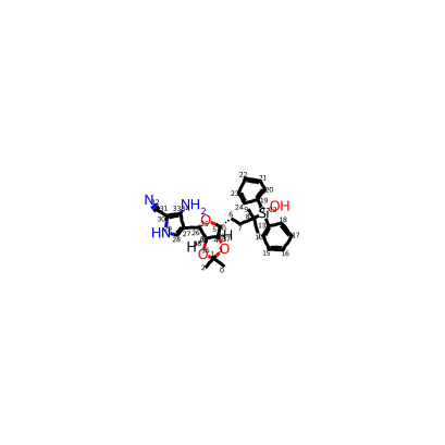 CC1(C)O[C@@H]2[C@@H](CCC(C)(C)[Si](O)(c3ccccc3)c3ccccc3)OC(c3c[nH]c(C#N)c3N)[C@@H]2O1